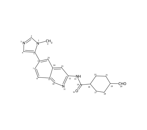 Cn1cncc1-c1ccc2cnc(NC(=O)C3CCC(C=O)CC3)cc2c1